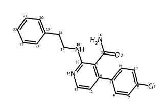 NC(=O)c1c(-c2ccc(Cl)cc2)ccnc1NCCc1ccccc1